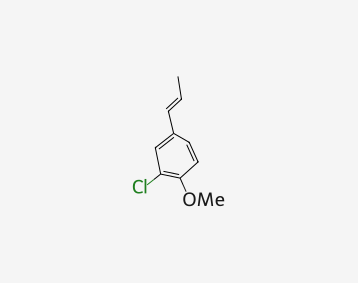 C/C=C/c1ccc(OC)c(Cl)c1